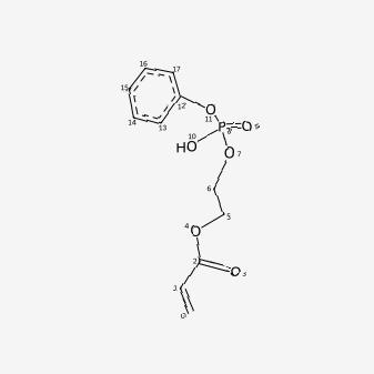 C=CC(=O)OCCOP(=O)(O)Oc1ccccc1